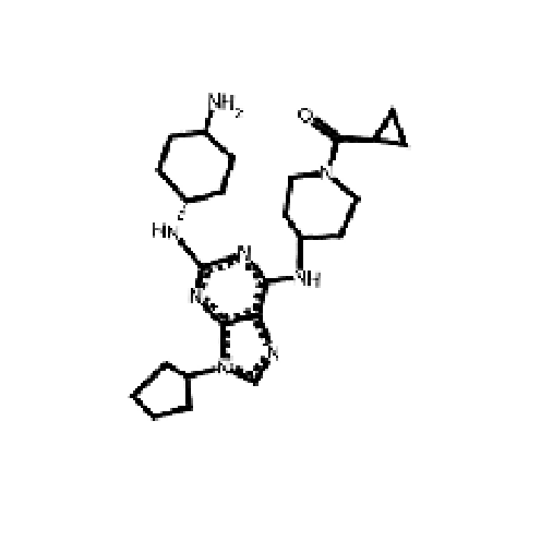 N[C@H]1CC[C@H](Nc2nc(NC3CCN(C(=O)C4CC4)CC3)c3ncn(C4CCCC4)c3n2)CC1